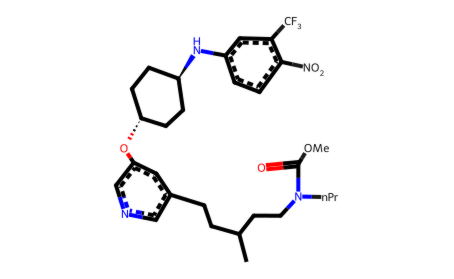 CCCN(CCC(C)CCc1cncc(O[C@H]2CC[C@H](Nc3ccc([N+](=O)[O-])c(C(F)(F)F)c3)CC2)c1)C(=O)OC